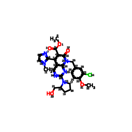 COC(=O)c1c(-c2nccn2C)c2cnc(N3CCCC3CO)nc2n(Cc2ccc(OC)c(Cl)c2)c1=O